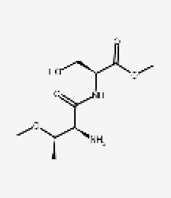 COC(=O)[C@H](CO)NC(=O)[C@@H](N)[C@@H](C)OC